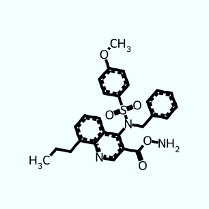 CCCc1cccc2c(N(Cc3ccccc3)S(=O)(=O)c3ccc(OC)cc3)c(C(=O)ON)cnc12